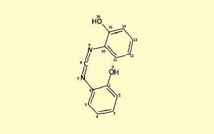 Oc1ccccc1N=C=Nc1ccccc1O